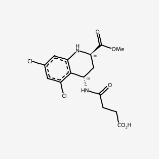 COC(=O)[C@H]1C[C@H](NC(=O)CCC(=O)O)c2c(Cl)cc(Cl)cc2N1